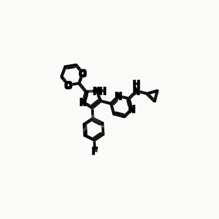 Fc1ccc(-c2nc(C3OC=CCO3)[nH]c2-c2ccnc(NC3CC3)n2)cc1